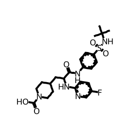 CC(C)(C)NS(=O)(=O)c1ccc(NC(=O)C(CC2CCN(C(=O)O)CC2)Nc2ccc(F)cn2)cc1